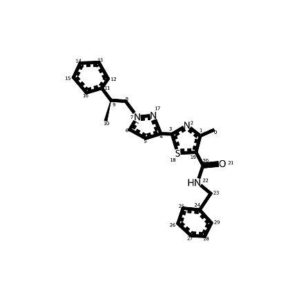 Cc1nc(-c2ccn(C[C@@H](C)c3ccccc3)n2)sc1C(=O)NCc1ccccc1